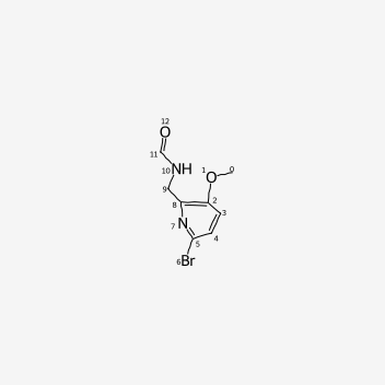 COc1ccc(Br)nc1CNC=O